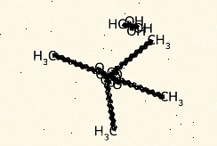 CCCCCCCCCCCCCCCC(=O)OCC(OC(=O)CCCCCCCCCCCCCCC)C(COC(=O)CCCCCCCCCCCCCCC)OC(=O)CCCCCCCCCCCCCCC.OCC(O)C(O)CO